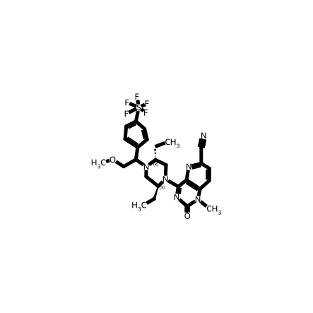 CC[C@H]1CN(C(COC)c2ccc(S(F)(F)(F)(F)F)cc2)[C@H](CC)CN1c1nc(=O)n(C)c2ccc(C#N)nc12